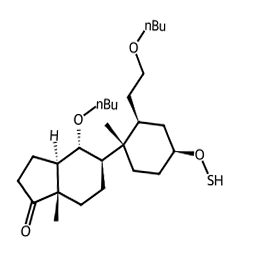 CCCCOCC[C@H]1C[C@@H](OS)CC[C@]1(C)[C@H]1CC[C@]2(C)C(=O)CC[C@H]2[C@@H]1OCCCC